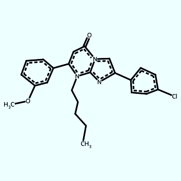 CCCCCn1c(-c2cccc(OC)c2)cc(=O)n2cc(-c3ccc(Cl)cc3)nc12